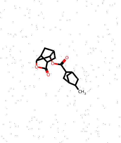 CC1CC2CC1CC2C(=O)OC1C2CC3C(=O)OC1C3C2